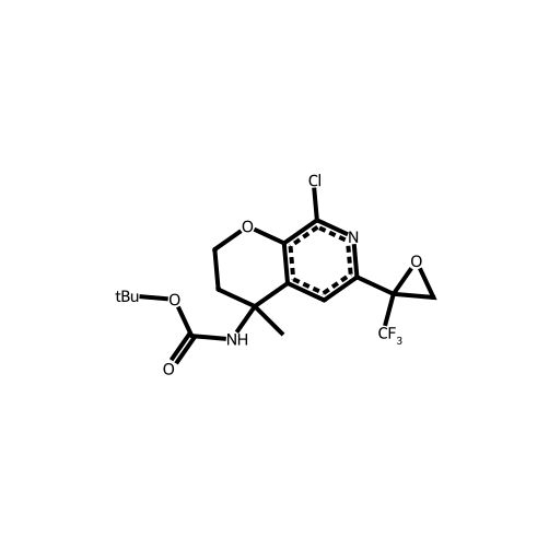 CC(C)(C)OC(=O)NC1(C)CCOc2c1cc(C1(C(F)(F)F)CO1)nc2Cl